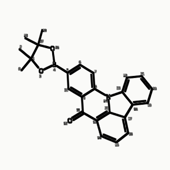 CC1(C)OB(c2ccc3c(c2)c(=O)c2cccc4c5ccccc5n3c24)OC1(C)C